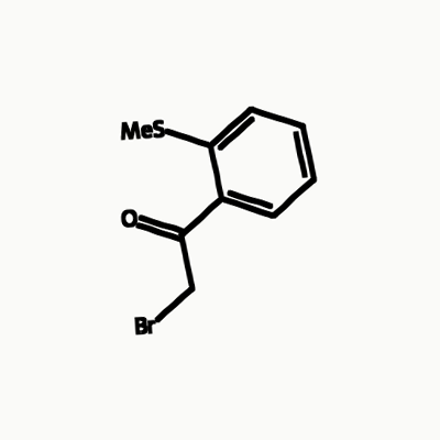 CSc1ccccc1C(=O)CBr